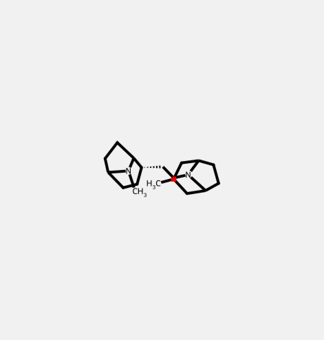 CC1CC2CCC(C1)N2CC[C@@H]1CCC2CCC1N2C